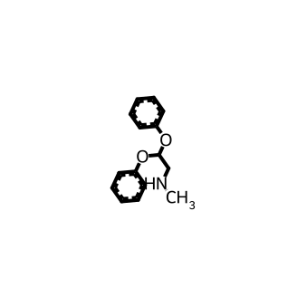 CNCC(Oc1ccccc1)Oc1ccccc1